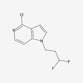 FC(F)CCn1ccc2c(Cl)nccc21